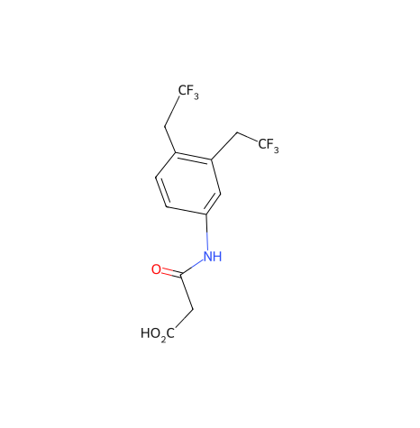 O=C(O)CC(=O)Nc1ccc(CC(F)(F)F)c(CC(F)(F)F)c1